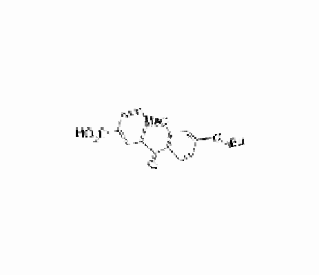 CCCCOc1ccc(C(=O)c2cccc(C(=O)O)c2)c(OC)c1